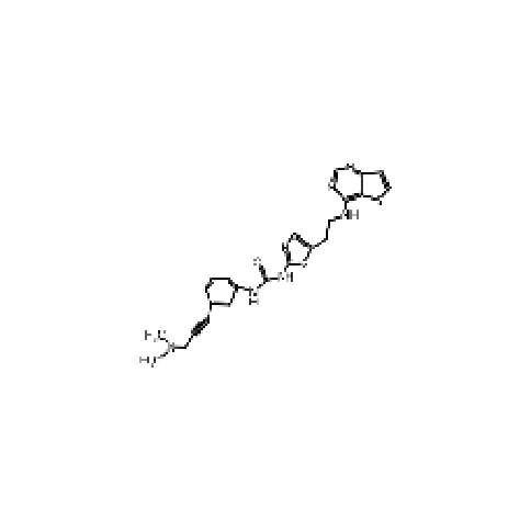 CN(C)CC#Cc1cccc(NC(=O)Nc2ncc(CCNc3ncnc4ccsc34)s2)c1